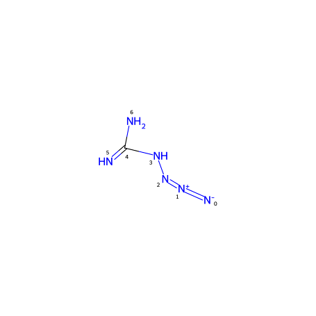 [N-]=[N+]=NNC(=N)N